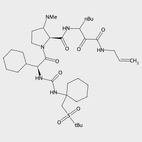 C=CCNC(=O)C(=O)C(CCCC)NC(=O)[C@@H]1C(NC)CCN1C(=O)[C@@H](NC(=O)NC1(CS(=O)(=O)C(C)(C)C)CCCCC1)C1CCCCC1